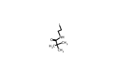 CC(C)(C)C(=O)NCCI